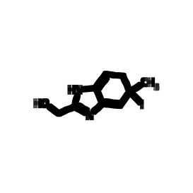 CC1(I)C=c2nc(CO)[nH]c2=CC1